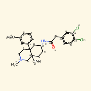 COc1cccc(C23CCN(C)CC2(OC)CC[C@@H](NC(=O)Cc2ccc(Cl)c(Cl)c2)C3)c1